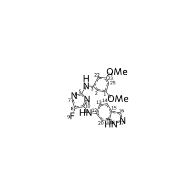 COc1cc(Nc2ncc(F)c(Nc3ccc4cn[nH]c4c3)n2)cc(OC)c1